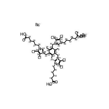 Cc1c(C[n+]2cn(CCCCCC(=O)O)c(Cl)c2Cl)c(C)c(C[n+]2cn(CCCCCC(=O)O)c(Cl)c2Cl)c(C)c1C[n+]1cn(CCCCCC(=O)O)c(Cl)c1Cl.[Br-].[Br-].[Br-]